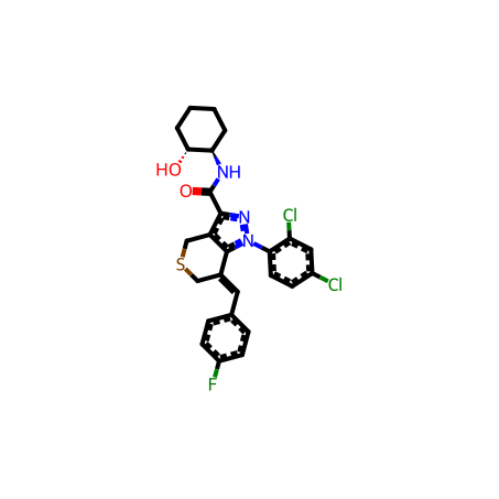 O=C(N[C@@H]1CCCC[C@H]1O)c1nn(-c2ccc(Cl)cc2Cl)c2c1CSC/C2=C\c1ccc(F)cc1